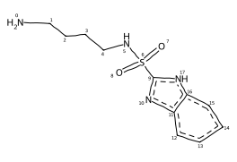 NCCCCNS(=O)(=O)c1nc2ccccc2[nH]1